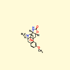 COc1ccc2c(c1)[C@]13CCN(C)[C@H](C2)[C@]1(O)C[C@@H]1NC(=O)O[C@@H]1C3